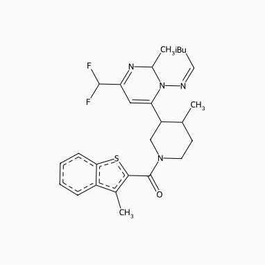 CCC(C)/C=N\N1C(C2CN(C(=O)c3sc4ccccc4c3C)CCC2C)=CC(C(F)F)=NC1C